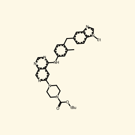 CCn1cnc2cc(Cc3ccc(Nc4ncnc5cnc(N6CCN(C(=O)OC(C)(C)C)CC6)cc45)cc3C)ccc21